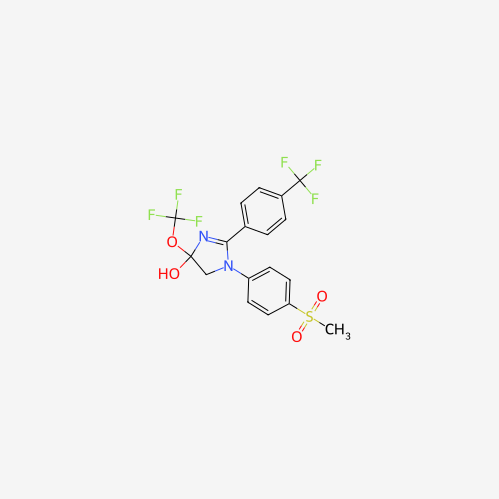 CS(=O)(=O)c1ccc(N2CC(O)(OC(F)(F)F)N=C2c2ccc(C(F)(F)F)cc2)cc1